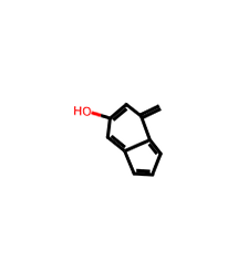 C=c1cc(O)cc2c1=CC=C2